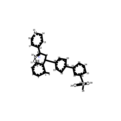 Cc1ccccc1C(C/C(=N\O)c1ccncc1)c1ccc(-c2cccc(S(C)(=O)=O)c2)cc1